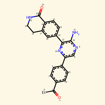 CCC(=O)c1ccc(-c2cnc(N)c(-c3ccc4c(c3)CCNC4=O)n2)cc1